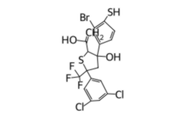 C=C(O)C1SC(c2cc(Cl)cc(Cl)c2)(C(F)(F)F)CC1(O)c1ccc(S)c(Br)c1